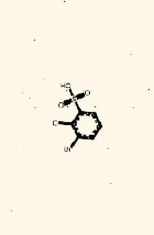 O=S(=O)(O)c1cccc(Br)c1Cl